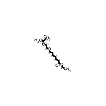 CCOC(=O)CCCCCCOCCOC(C)CC